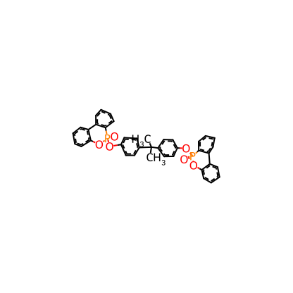 CC(C)(c1ccc(OP2(=O)Oc3ccccc3-c3ccccc32)cc1)c1ccc(OP2(=O)Oc3ccccc3-c3ccccc32)cc1